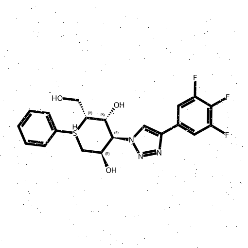 OC[C@@H]1[C@H](O)[C@@H](n2cc(-c3cc(F)c(F)c(F)c3)nn2)[C@@H](O)C[SH]1c1ccccc1